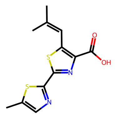 CC(C)=Cc1sc(-c2ncc(C)s2)nc1C(=O)O